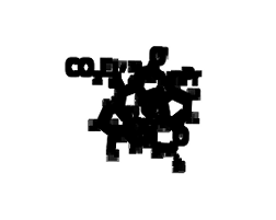 CCCn1ccc(C(CC(=O)OCC)c2ccc(C)c(CN3C[C@@H](C)Oc4ccccc4S3(=O)=O)c2)cc1=O